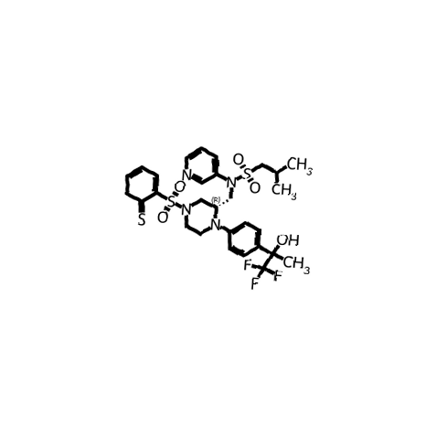 CC(C)CS(=O)(=O)N(C[C@H]1CN(S(=O)(=O)C2=CC=CCC2=S)CCN1c1ccc(C(C)(O)C(F)(F)F)cc1)c1cccnc1